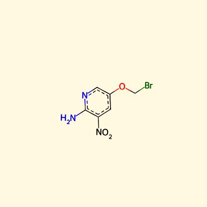 Nc1ncc(OCBr)cc1[N+](=O)[O-]